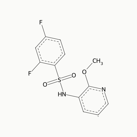 COc1nc[c]cc1NS(=O)(=O)c1ccc(F)cc1F